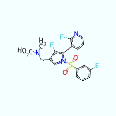 CN(Cc1cn(S(=O)(=O)c2cccc(F)c2)c(-c2cccnc2F)c1F)C(=O)O